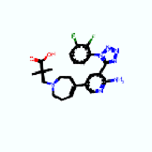 CC(C)(CN1CCC=C(c2cnc(N)c(-c3nnnn3-c3cccc(F)c3F)c2)CC1)C(=O)O